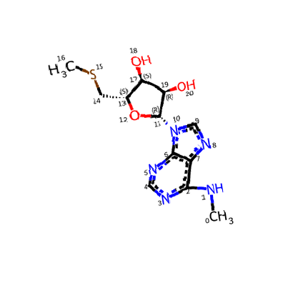 CNc1ncnc2c1ncn2[C@@H]1O[C@H](CSC)[C@@H](O)[C@H]1O